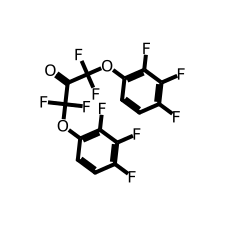 O=C(C(F)(F)Oc1ccc(F)c(F)c1F)C(F)(F)Oc1ccc(F)c(F)c1F